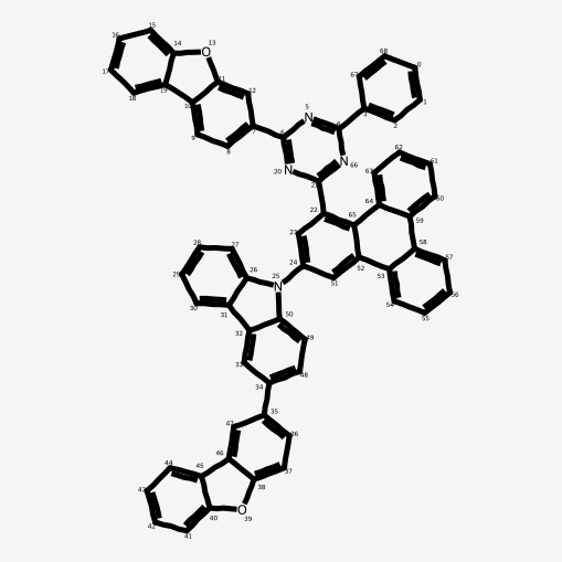 c1ccc(-c2nc(-c3ccc4c(c3)oc3ccccc34)nc(-c3cc(-n4c5ccccc5c5cc(-c6ccc7oc8ccccc8c7c6)ccc54)cc4c5ccccc5c5ccccc5c34)n2)cc1